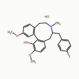 COc1ccc2c(c1)-c1c(ccc(OC)c1O)CC(Cc1ccc(F)cc1)N(C)CC2.Cl